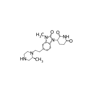 C[C@H]1CNCCN1CCc1ccc2c(c1)n(C)c(=O)n2C1CCC(=O)NC1=O